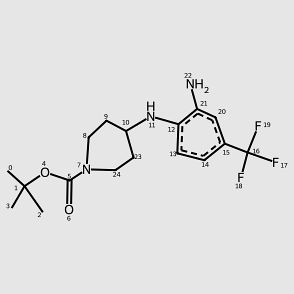 CC(C)(C)OC(=O)N1CCC(Nc2ccc(C(F)(F)F)cc2N)CC1